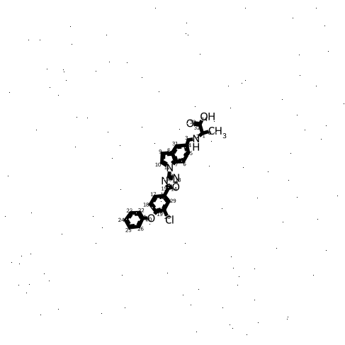 CC(NCc1ccc2c(ccn2-c2noc(-c3ccc(Oc4ccccc4)c(Cl)c3)n2)c1)C(=O)O